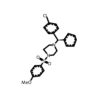 COc1ccc(S(=O)(=O)N2CCN([C@H](c3ccccc3)c3ccc(Cl)cc3)CC2)cc1